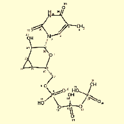 Cc1cn([C@@H]2O[C@H](COP(=O)(O)OP(=O)(O)OP(=O)(O)O)C3CC3C2O)c(=S)[nH]c1=O